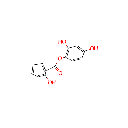 O=C(Oc1ccc(O)cc1O)c1ccccc1O